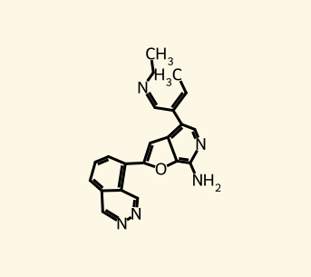 C/C=C(\C=N/CC)c1cnc(N)c2oc(-c3cccc4cnncc34)cc12